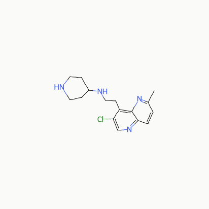 Cc1ccc2ncc(Cl)c(CCNC3CCNCC3)c2n1